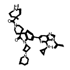 CC(C)n1cnc2cc(-c3ccc4c(c3)N([C@H]3C[C@@H](N5CCCCC5)C3)C(=O)C43CCN(C(=O)C4(C)CCNCC4)CC3)nc(NC3CC3)c21